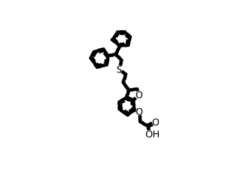 O=C(O)COc1cccc2c1OCC2CCSCC(c1ccccc1)c1ccccc1